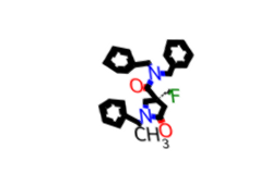 C[C@@H](c1ccccc1)N1C[C@@](CF)(C(=O)N(Cc2ccccc2)Cc2ccccc2)CC1=O